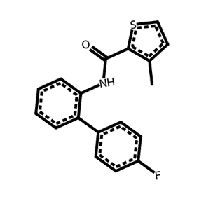 Cc1ccsc1C(=O)Nc1ccccc1-c1ccc(F)cc1